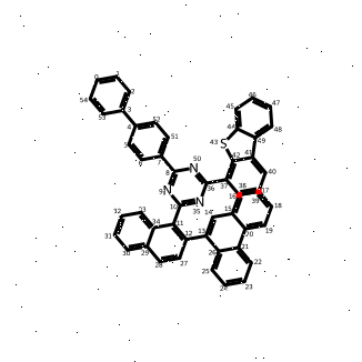 c1ccc(-c2ccc(-c3nc(-c4c(-c5cc6ccccc6c6ccccc56)ccc5ccccc45)nc(-c4cccc5c4sc4ccccc45)n3)cc2)cc1